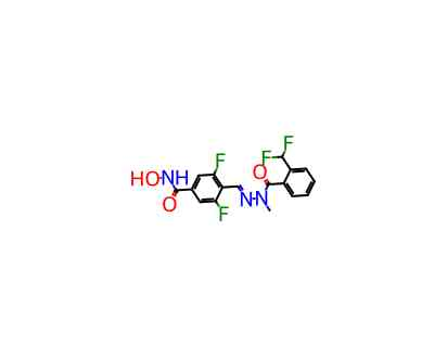 CN(N=Cc1c(F)cc(C(=O)NO)cc1F)C(=O)c1ccccc1C(F)F